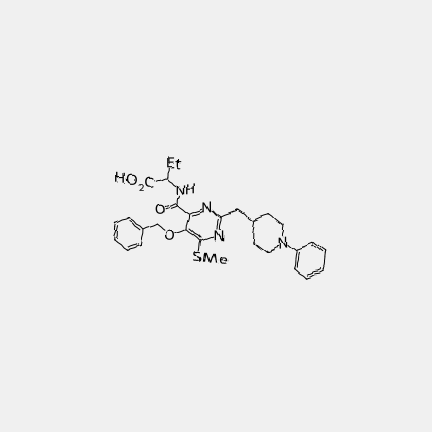 CCC(NC(=O)c1nc(CC2CCN(c3ccccc3)CC2)nc(SC)c1OCc1ccccc1)C(=O)O